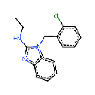 CCNc1nc2ccccc2n1Cc1ccccc1Cl